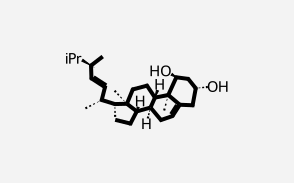 CC(C)[C@@H](C)/C=C/[C@@H](C)[C@H]1CC[C@H]2[C@@H]3CC=C4C[C@@H](O)C[C@H](O)[C@]4(C)[C@H]3CC[C@]12C